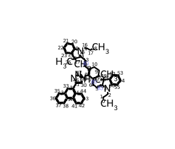 CCCN1/C(=C/C=C2\CCCC(/C=C/C3=[N+](CCC)c4ccccc4C3(C)C)=C2n2cc(-c3cc4ccccc4c4ccccc34)nn2)C(C)(C)c2ccccc21